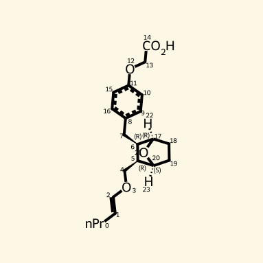 CCCC=COC[C@H]1[C@@H](Cc2ccc(OCC(=O)O)cc2)[C@H]2CC[C@@H]1O2